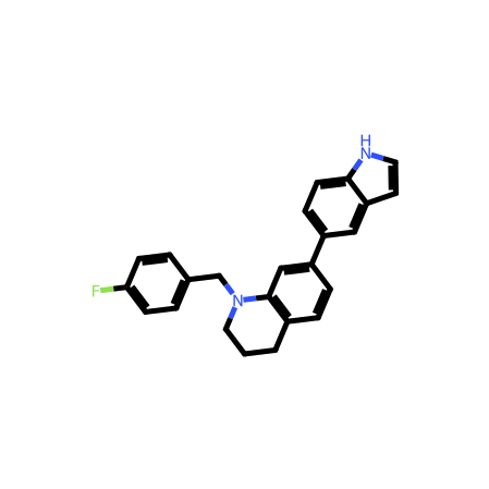 Fc1ccc(CN2CCCc3ccc(-c4ccc5[nH]ccc5c4)cc32)cc1